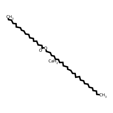 CCCCCCCCCCCCCCCCCCCCCCCCCCOC(=O)CCCCCCCCCCCCCCCCC.[CaH2]